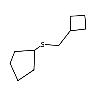 C1CC(CSC2CCCC2)C1